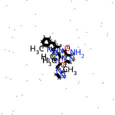 Cc1cccc2cc(CNC(=O)c3nccnc3N)c(N(C)CCN(C)C(=O)Cn3ccnc3C)nc12